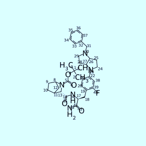 CC(C)(C)OC(=O)N1C2CCC(C2)[C@H]1C(=O)N[C@@H](Cc1ccc(N2CCC3C2CCN3Cc2ccccc2)cc1F)C(N)=O